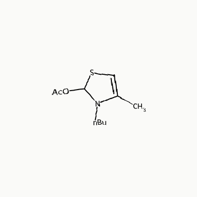 CCCCN1C(C)=CSC1OC(C)=O